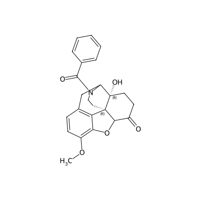 COc1ccc2c3c1OC1C(=O)CC[C@]4(O)C(C2)N(C(=O)c2ccccc2)CC[C@@]314